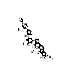 COc1c2c(n3c1C(=O)N(c1nccc(-c4cc(Nc5cncc(N6CCN(C7COC7)C[C@@H]6C)c5)c(=O)n(C)c4)c1CO)CC3)CC(C)(C)C2